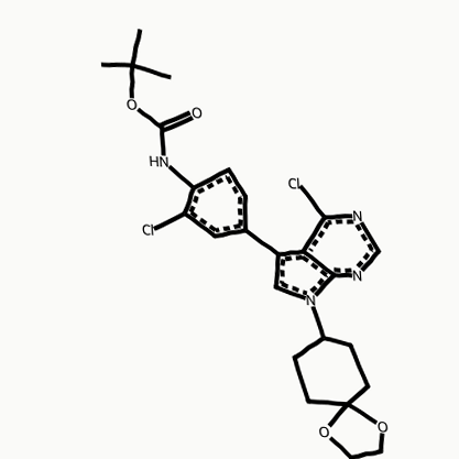 CC(C)(C)OC(=O)Nc1ccc(-c2cn(C3CCC4(CC3)OCCO4)c3ncnc(Cl)c23)cc1Cl